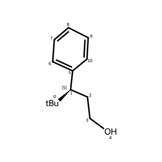 CC(C)(C)[C@H](CCO)c1ccccc1